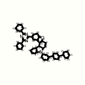 C1=CC2C(c3ccccc3N2c2cccc(-c3ccc(-c4ccccc4)cc3)c2)c2c1oc1ccc(-c3nc(-c4ccccc4)nc(-c4ccccc4)n3)cc21